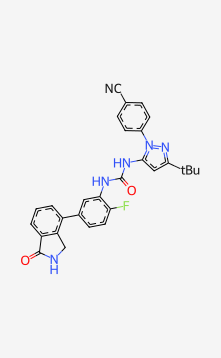 CC(C)(C)c1cc(NC(=O)Nc2cc(-c3cccc4c3CNC4=O)ccc2F)n(-c2ccc(C#N)cc2)n1